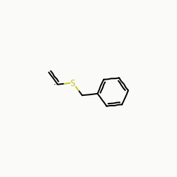 C=[C]SCc1ccccc1